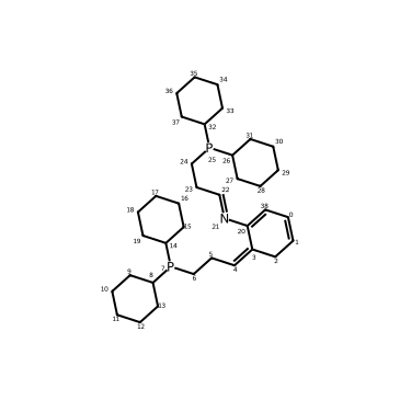 C1=CCC(=CCCP(C2CCCCC2)C2CCCCC2)C(N=CCCP(C2CCCCC2)C2CCCCC2)=C1